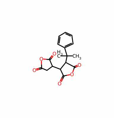 CC(C)(c1ccccc1)C1C(=O)OC(=O)C1C1CC(=O)OC1=O